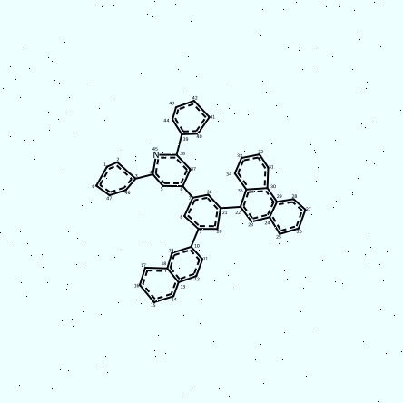 c1ccc(-c2cc(-c3cc(-c4ccc5ccccc5c4)cc(-c4cc5ccccc5c5ccccc45)c3)cc(-c3ccccc3)n2)cc1